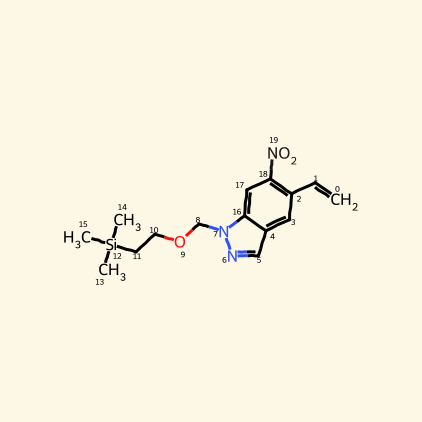 C=Cc1cc2cnn(COCC[Si](C)(C)C)c2cc1[N+](=O)[O-]